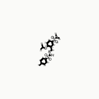 Cc1ccc(S(=O)(=O)NN=Cc2cc(S(=O)(=O)N(C)C)ccc2OC(C)C)cc1